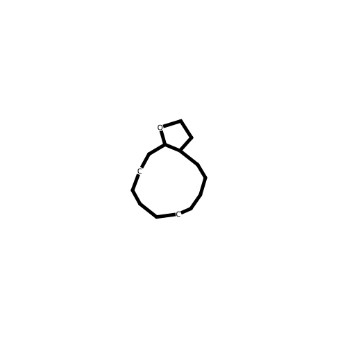 C1CCCCCC2OCCC2CCCC1